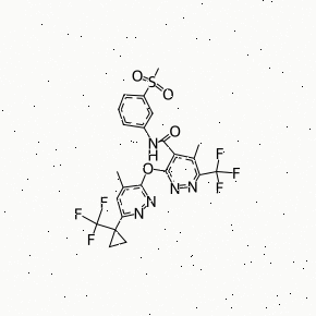 Cc1cc(C2(C(F)(F)F)CC2)nnc1Oc1nnc(C(F)(F)F)c(C)c1C(=O)Nc1cccc(S(C)(=O)=O)c1